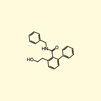 O=C(NCc1ccccc1)c1c(CCO)cccc1-c1ccccc1